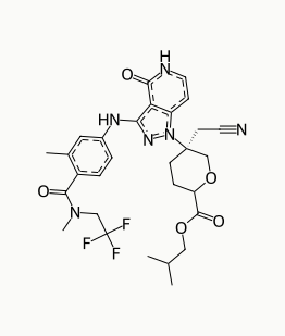 Cc1cc(Nc2nn([C@]3(CC#N)CCC(C(=O)OCC(C)C)OC3)c3cc[nH]c(=O)c23)ccc1C(=O)N(C)CC(F)(F)F